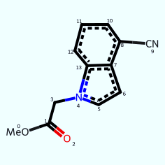 COC(=O)Cn1ccc2c(C#N)cccc21